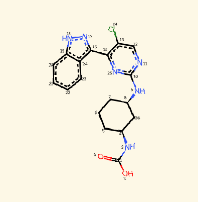 O=C(O)N[C@H]1CCC[C@@H](Nc2ncc(Cl)c(-c3n[nH]c4ccccc34)n2)C1